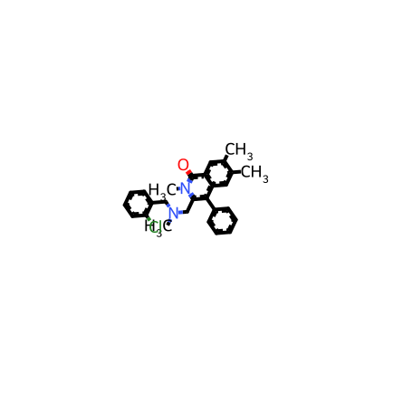 Cc1cc2c(-c3ccccc3)c(CN(C)Cc3ccccc3Cl)n(C)c(=O)c2cc1C